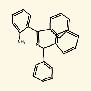 Cc1ccccc1C(=NC(c1ccccc1)c1ccccc1)c1ccccc1